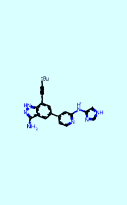 CC(C)(C)C#Cc1cc(-c2ccnc(Nc3c[nH]cn3)c2)cc2c(N)n[nH]c12